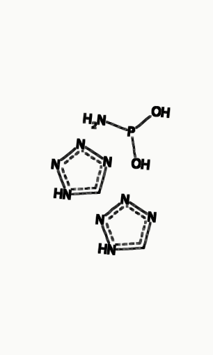 NP(O)O.c1nnn[nH]1.c1nnn[nH]1